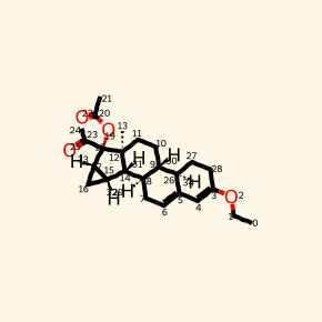 CCOC1=CC2=CC[C@@H]3[C@H](CC[C@@]4(C)[C@H]3[C@@H]3C[C@@H]3[C@]4(OC(C)=O)C(C)=O)[C@H]2CC1